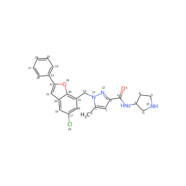 Cc1cc(C(=O)NC2CCNC2)nn1Cc1cc(Cl)cc2cc(-c3ccccc3)oc12